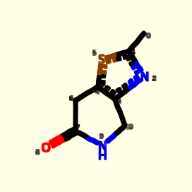 Cc1nc2c(s1)CC(=O)NC2